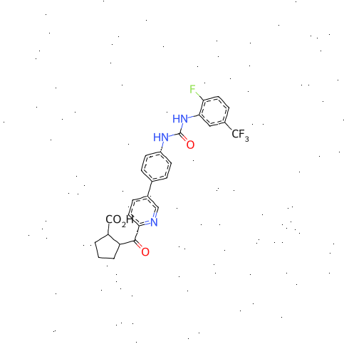 O=C(Nc1ccc(-c2ccc(C(=O)C3CCCC3C(=O)O)nc2)cc1)Nc1cc(C(F)(F)F)ccc1F